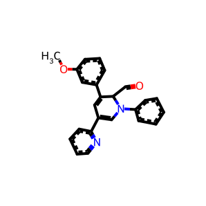 COc1cccc(C2=CC(c3ccccn3)=CN(c3ccccc3)C2C=O)c1